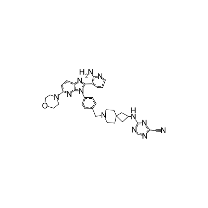 N#Cc1ncnc(NC2CC3(CCN(Cc4ccc(-n5c(-c6cccnc6N)nc6ccc(N7CCOCC7)nc65)cc4)CC3)C2)n1